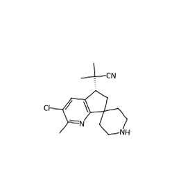 Cc1nc2c(cc1Cl)[C@H](C(C)(C)C#N)CC21CCNCC1